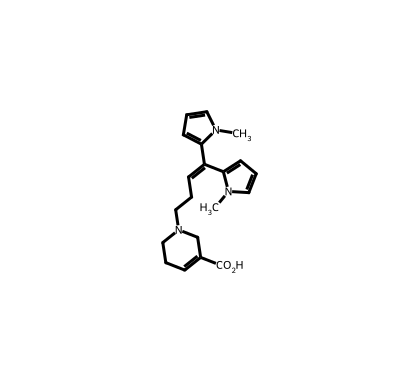 Cn1cccc1C(=CCCN1CCC=C(C(=O)O)C1)c1cccn1C